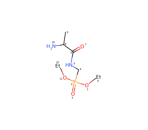 CCOP(=O)(CNC(=O)C(C)N)OCC